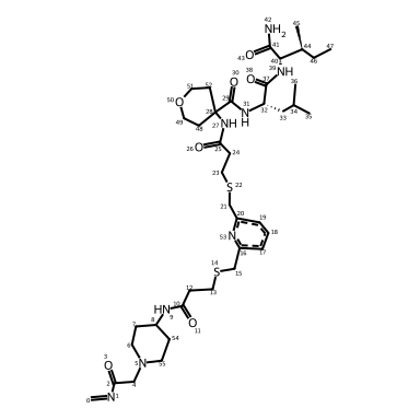 C=NC(=O)CN1CCC(NC(=O)CCSCc2cccc(CSCCC(=O)NC3(C(=O)N[C@@H](CC(C)C)C(=O)N[C@H](C(N)=O)[C@@H](C)CC)CCOCC3)n2)CC1